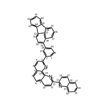 c1cc(-c2ccc3ccc4ccc(-c5ccc6ccccc6n5)nc4c3n2)cc(-c2ccc3c4c(cccc24)-c2ccccc2-3)c1